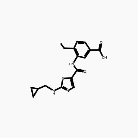 CCc1ccc(C(=O)O)cc1NC(=O)c1cnc(NCC2CC2)s1